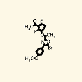 COc1ccc(-c2nc([C@@H](C)Oc3ccc(F)c(C(C)=O)c3F)oc2Br)cc1